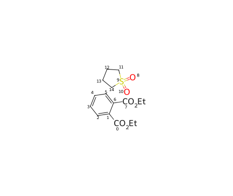 CCOC(=O)c1ccccc1C(=O)OCC.O=S1(=O)CCCC1